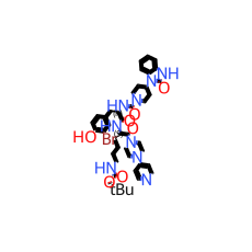 CC(C)(C)OC(=O)NCCCC[C@H](NC(=O)[C@@H](Cc1ccc(O)c(Br)c1)NC(=O)N1CCC(n2c(=O)[nH]c3ccccc32)CC1)C(=O)N1CCN(c2ccncc2)CC1